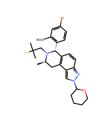 COc1cc(Br)ccc1[C@@H]1c2ccc3nn(C4CCCCO4)cc3c2C[C@@H](C)N1CC(C)(C)F